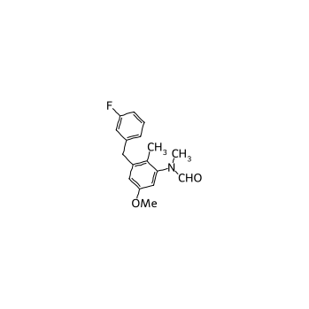 COc1cc(Cc2cccc(F)c2)c(C)c(N(C)C=O)c1